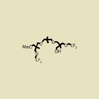 COCC(C)(COCC(F)(F)F)COCC(C)(C)COCC(C)(CO)COCC(F)(F)F